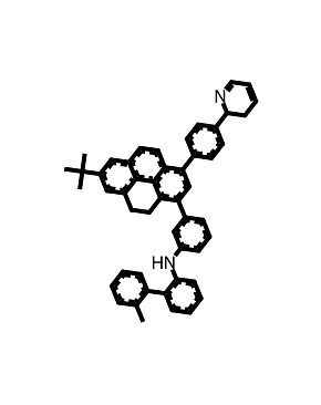 Cc1ccccc1-c1ccccc1Nc1cccc(-c2cc(-c3ccc(C4CC=CC=N4)cc3)c3ccc4cc(C(C)(C)C)cc5c4c3c2CC5)c1